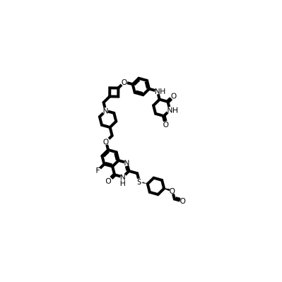 O=CO[C@H]1CC[C@H](SCc2nc3cc(OCC4CCN(CC5CC(Oc6ccc(NC7CCC(=O)NC7=O)cc6)C5)CC4)cc(F)c3c(=O)[nH]2)CC1